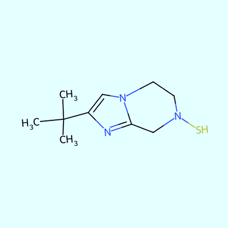 CC(C)(C)c1cn2c(n1)CN(S)CC2